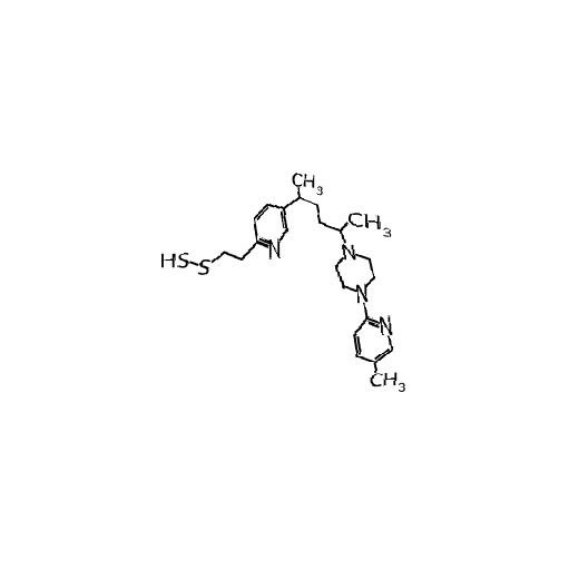 Cc1ccc(N2CCN(C(C)CCC(C)c3ccc(CCSS)nc3)CC2)nc1